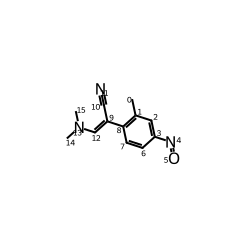 Cc1cc(N=O)ccc1/C(C#N)=C/N(C)C